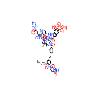 Cn1c(=O)n(C2CCC(=O)NC2=O)c2ccc(CC[C@H]3CC[C@@H](C(=O)N4CC[C@H]5CC[C@@H](C(=O)N[C@@H](CCC(N)=O)c6ccccn6)N5C(=O)[C@@H](NC(=O)c5cc6cc(C(=O)P(=O)(O)O)ccc6[nH]5)C4)CC3)cc21